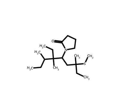 CCC(C)C(C)(CC)C(CC(C)(CC)SC)N1CCCC1=O